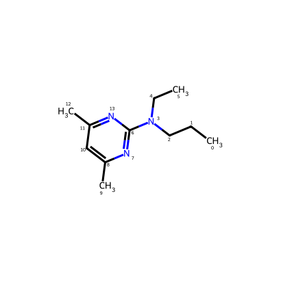 CCCN(CC)c1nc(C)cc(C)n1